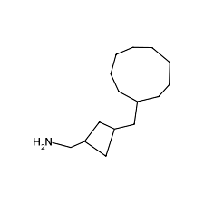 NCC1CC(CC2CCCCCCCC2)C1